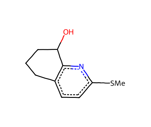 CSc1ccc2c(n1)C(O)CCC2